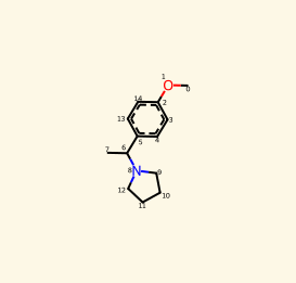 COc1ccc(C(C)N2CCCC2)cc1